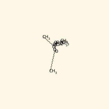 CCCCCCCCCCCCCCCCC(=O)OCC(COP(=O)(O)OCC[N+](C)(C)C)OC(=O)CCCCCCCCCC